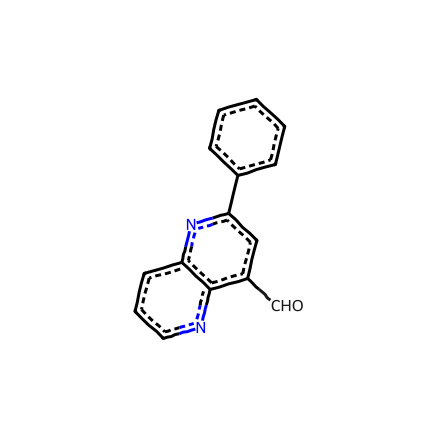 O=Cc1cc(-c2ccccc2)nc2cccnc12